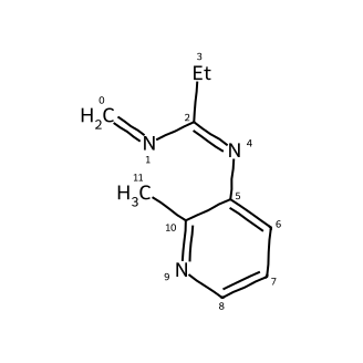 C=N/C(CC)=N\c1cccnc1C